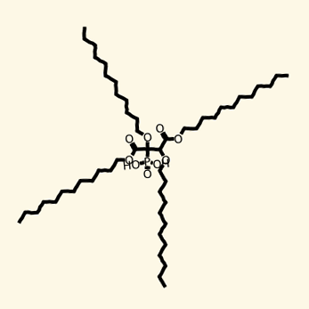 CCCCCCCCCCCCOC(=O)C(OCCCCCCCCCCCC)C(OCCCCCCCCCCCC)(C(=O)OCCCCCCCCCCCC)P(=O)(O)O